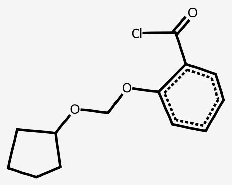 O=C(Cl)c1ccccc1OCOC1CCCC1